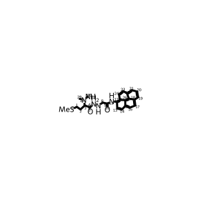 CSCCC(C(=O)NNCC(=O)Nc1ccc2ccc3cccc4ccc1c2c34)N(C)N